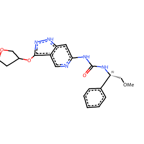 COC[C@@H](NC(=O)Nc1cc2[nH]nc(OC3CCOC3)c2cn1)c1ccccc1